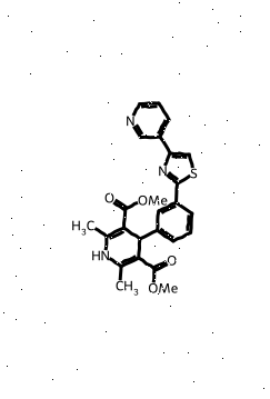 COC(=O)C1=C(C)NC(C)=C(C(=O)OC)C1c1cccc(-c2nc(-c3cccnc3)cs2)c1